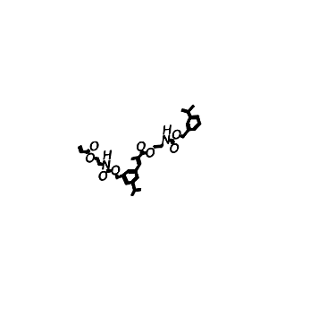 C=CC(=O)OCCNC(=O)OCc1cc(/C=C(\C)C(=O)OCCNC(=O)OCc2cccc(C(C)C)c2)cc(C(C)C)c1